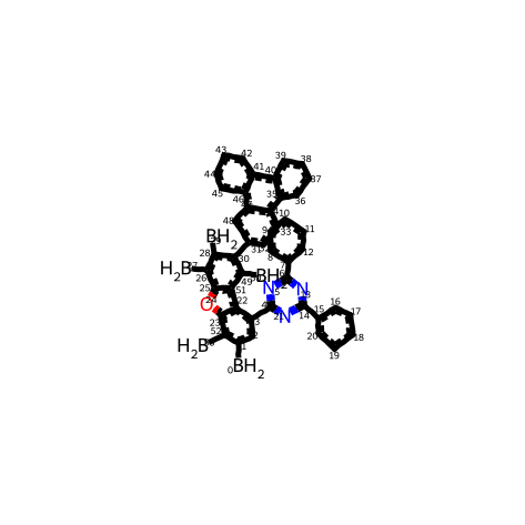 Bc1cc(-c2nc(-c3ccccc3)nc(-c3ccccc3)n2)c2c(oc3c(B)c(B)c(-c4ccc5c6ccccc6c6ccccc6c5c4)c(B)c32)c1B